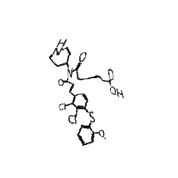 COc1ccccc1Sc1ccc(C=CC(=O)N(C(=O)CCCC(=O)O)C2CCNCC2)c(Cl)c1Cl